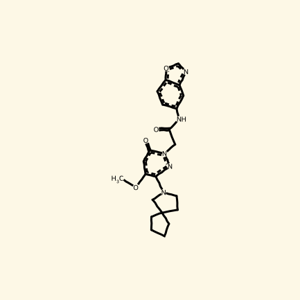 COc1cc(=O)n(CC(=O)Nc2ccc3ocnc3c2)nc1N1CCC2(CCCC2)C1